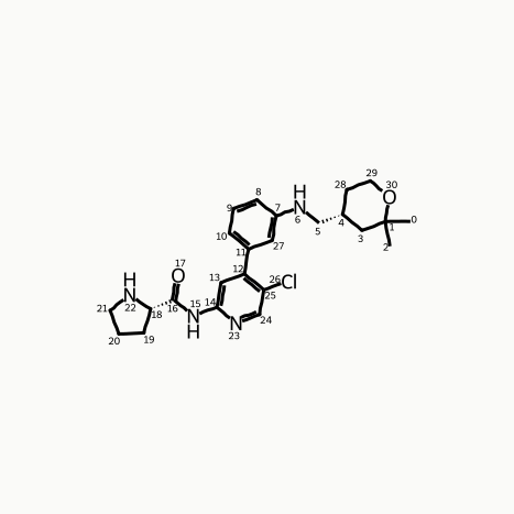 CC1(C)C[C@H](CNc2cccc(-c3cc(NC(=O)[C@@H]4CCCN4)ncc3Cl)c2)CCO1